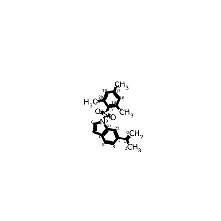 C=C(C)c1ccc2ccn(S(=O)(=O)c3c(C)cc(C)cc3C)c2c1